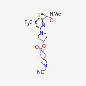 CNC(=O)c1csc2c(C(F)(F)F)cc(N3CCC(OC(=O)N4CC5(CN(CC#N)C5)C4)CC3)nc12